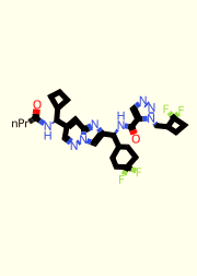 CCCC(=O)N[C@@H](c1cnn2cc([C@@H](NC(=O)c3cnnn3CC3CCC3(F)F)C3CCC(F)(F)CC3)nc2c1)C1CCC1